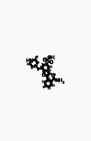 C[C@H]1CN(Cc2cc(S(=O)(=O)O)cc3cc(-c4ccccc4C(N)=O)oc23)CCN1